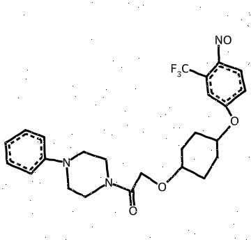 O=Nc1ccc(OC2CCC(OCC(=O)N3CCN(c4ccccc4)CC3)CC2)cc1C(F)(F)F